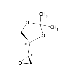 CC1(C)OC[C@H]([C@H]2CO2)O1